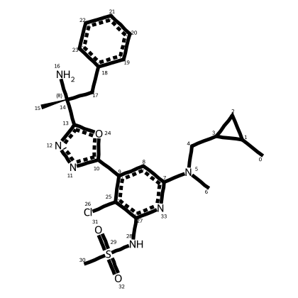 CC1CC1CN(C)c1cc(-c2nnc([C@](C)(N)Cc3ccccc3)o2)c(Cl)c(NS(C)(=O)=O)n1